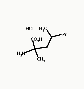 CC(C)C(C)CC(C)(N)C(=O)O.Cl